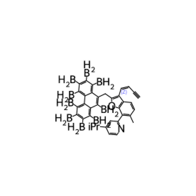 Bc1c(B)c(B)c2c(c1B)c(B)c(Cc1oc3c(-c4cc(C(C)C)ccn4)c(C)ccc3c1/C=C\C#C)c1c(B)c(B)c(B)c(B)c12